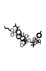 CCCCOC(=O)[C@@H]1[C@@](C)([C@H](C)C(C)C)CC[C@]2(C)[C@H]3CC[C@@H]4[C@@]5(COC[C@]4(C)[C@@H](OC[C@](C)(NS(=O)(=O)c4ccc(C)cc4)C(C)(C)C)[C@H](OC)C5)C3=CC[C@@]12C